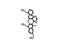 Cc1c2c(c(CC(C)(C)C)c3ccc(CC(C)(C)C)cc13)Oc1cc3c(CC(C)(C)C)cccc3c3nc[n+](C)c-2c13